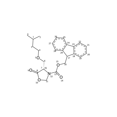 CC(C)CCOC[C@H]1C(=O)OCN1C(=O)OCC1c2ccccc2-c2ccccc21